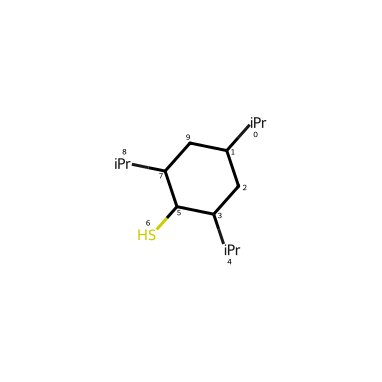 CC(C)C1CC(C(C)C)C(S)C(C(C)C)C1